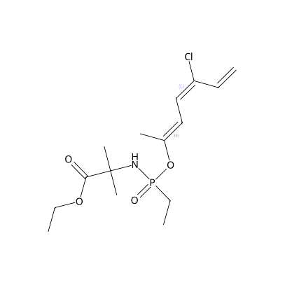 C=C/C(Cl)=C\C=C(/C)OP(=O)(CC)NC(C)(C)C(=O)OCC